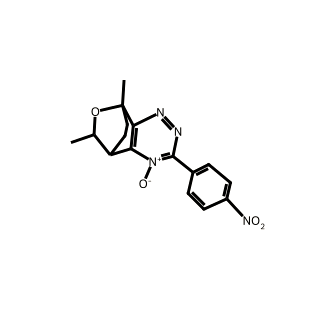 CC1OC2(C)CCC1c1c2nnc(-c2ccc([N+](=O)[O-])cc2)[n+]1[O-]